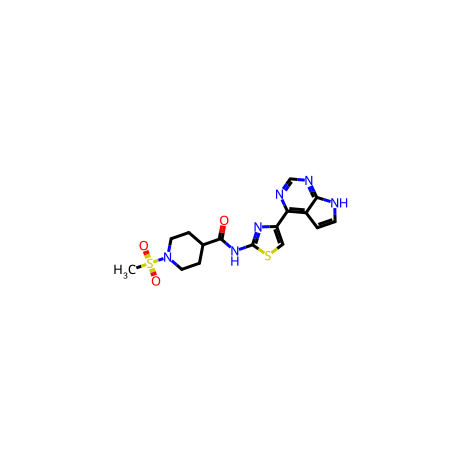 CS(=O)(=O)N1CCC(C(=O)Nc2nc(-c3ncnc4[nH]ccc34)cs2)CC1